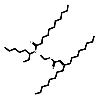 CCCCCCCCC(=CC(=O)OCC)CCCCCCCC.CCCCCCCCCCC(=O)OC(CC)CCCCC